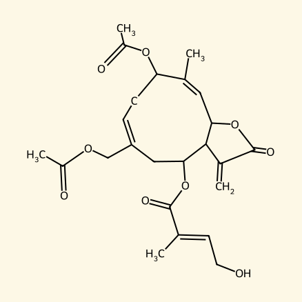 C=C1C(=O)OC2C=C(C)C(OC(C)=O)CC=C(COC(C)=O)CC(OC(=O)C(C)=CCO)C12